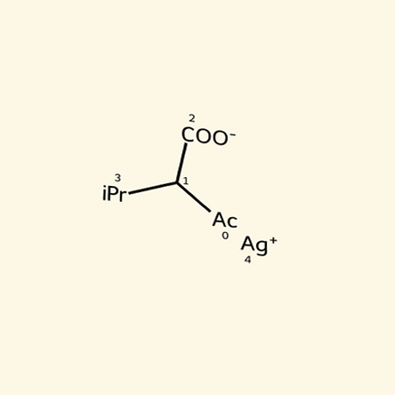 CC(=O)C(C(=O)[O-])C(C)C.[Ag+]